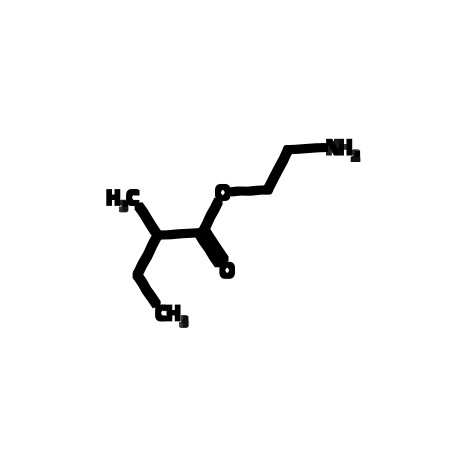 CCC(C)C(=O)OCCN